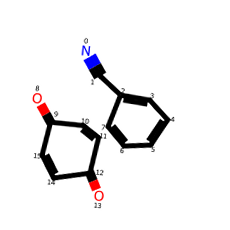 N#Cc1ccccc1.O=C1C=CC(=O)C=C1